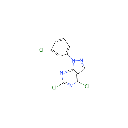 Clc1cccc(-n2ncc3c(Cl)nc(Cl)nc32)c1